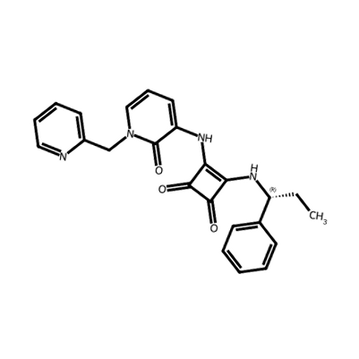 CC[C@@H](Nc1c(Nc2cccn(Cc3ccccn3)c2=O)c(=O)c1=O)c1ccccc1